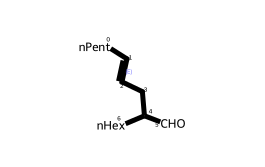 CCCCC/C=C/CC(C=O)CCCCCC